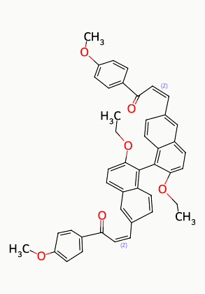 CCOc1ccc2cc(/C=C\C(=O)c3ccc(OC)cc3)ccc2c1-c1c(OCC)ccc2cc(/C=C\C(=O)c3ccc(OC)cc3)ccc12